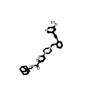 CCOc1cncc(C#Cc2ccccc2CN2CCN(c3ccc(C(=O)NCC45CC6CC(CC(C6)C4)C5)nn3)CC2)c1